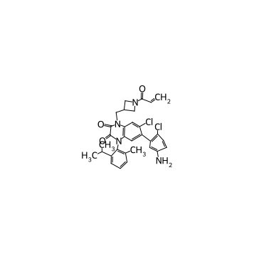 C=CC(=O)N1CC(Cn2c(=O)c(=O)n(-c3c(C)cccc3C(C)C)c3cc(-c4cc(N)ccc4Cl)c(Cl)cc32)C1